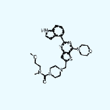 COCCN(C)C(=O)N1CCN(Cc2cc3nc(-c4cccc5[nH]ccc45)nc(N4CCOCC4)c3s2)CC1